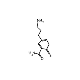 NCCCC1=CCC(=S)C(C(N)=O)=C1